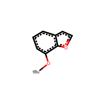 CC(C)(C)Oc1cccc2ccoc12